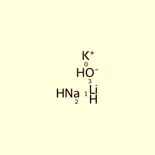 [K+].[LiH].[NaH].[OH-]